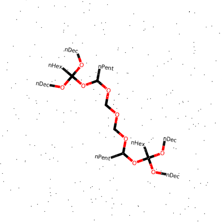 CCCCCCCCCCOC(CCCCCC)(OCCCCCCCCCC)OC(CCCCC)OCOCOC(CCCCC)OC(CCCCCC)(OCCCCCCCCCC)OCCCCCCCCCC